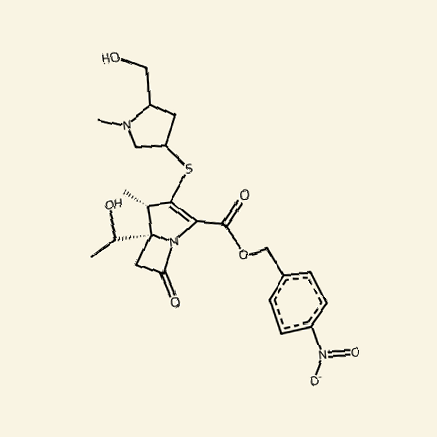 CC(O)[C@@]12CC(=O)N1C(C(=O)OCc1ccc([N+](=O)[O-])cc1)=C(SC1CC(CO)N(C)C1)[C@H]2C